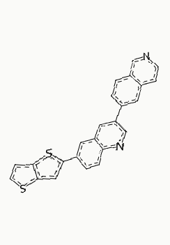 c1cc2cc(-c3cnc4ccc(-c5cc6sccc6s5)cc4c3)ccc2cn1